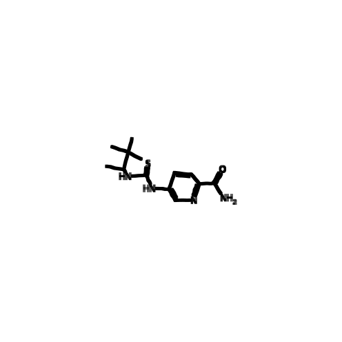 CC(NC(=S)Nc1ccc(C(N)=O)nc1)C(C)(C)C